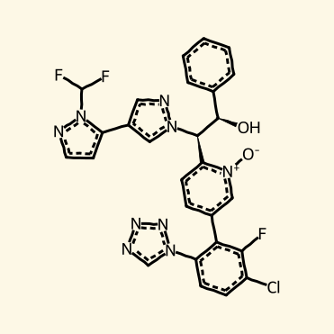 [O-][n+]1cc(-c2c(-n3cnnn3)ccc(Cl)c2F)ccc1[C@H]([C@H](O)c1ccccc1)n1cc(-c2ccnn2C(F)F)cn1